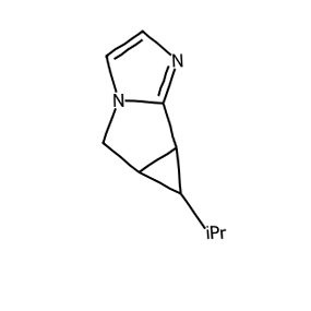 CC(C)C1C2Cn3ccnc3C21